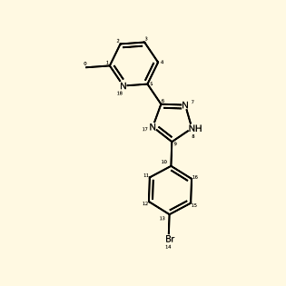 Cc1cccc(-c2n[nH]c(-c3ccc(Br)cc3)n2)n1